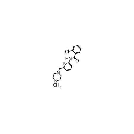 CN1CCN(Cc2cccc(NC(=O)c3ccccc3Cl)n2)CC1